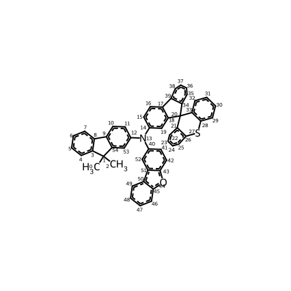 CC1(C)c2ccccc2-c2ccc(N(c3ccc4c(c3)C3(c5ccccc5Sc5ccccc53)c3ccccc3-4)c3ccc4oc5ccccc5c4c3)cc21